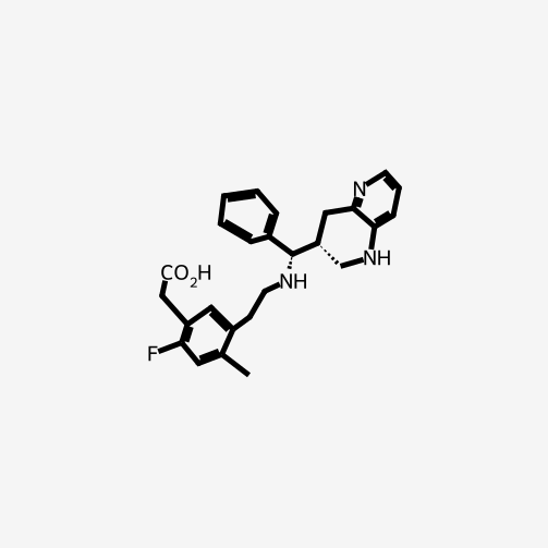 Cc1cc(F)c(CC(=O)O)cc1CCN[C@H](c1ccccc1)[C@H]1CNc2cccnc2C1